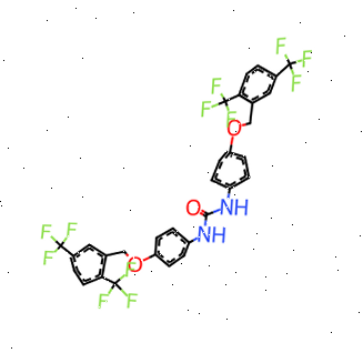 O=C(Nc1ccc(OCc2cc(C(F)(F)F)ccc2C(F)(F)F)cc1)Nc1ccc(OCc2cc(C(F)(F)F)ccc2C(F)(F)F)cc1